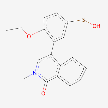 CCOc1ccc(SO)cc1-c1cn(C)c(=O)c2ccccc12